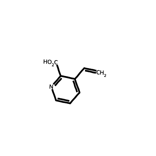 C=Cc1cccnc1C(=O)O